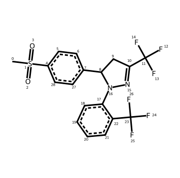 CS(=O)(=O)c1ccc(C2CC(C(F)(F)F)=NN2c2ccccc2C(F)(F)F)cc1